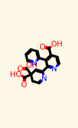 O=C(O)c1ccnc(C2=CC(C(=O)O)(C(=O)O)CC=N2)c1-c1ccccn1